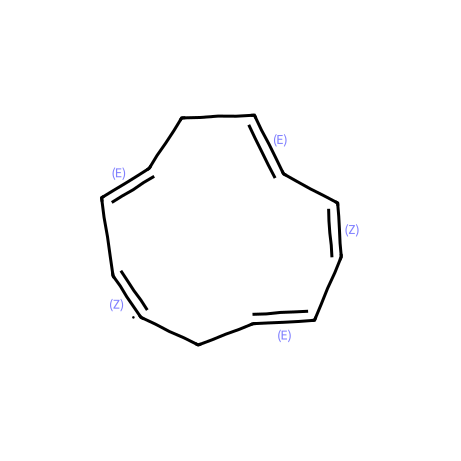 [C]1=C\C=C\C/C=C/C=C\C=C\C/1